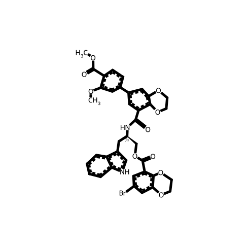 COC(=O)c1ccc(-c2cc3c(c(C(=O)N[C@@H](COC(=O)c4cc(Br)cc5c4OCCO5)Cc4c[nH]c5ccccc45)c2)OCCO3)cc1OC